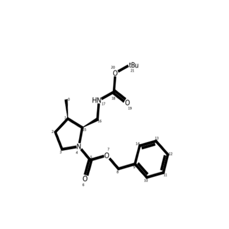 C[C@@H]1CCN(C(=O)OCc2ccccc2)[C@@H]1CNC(=O)OC(C)(C)C